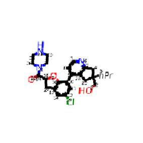 CCCC1(CO)Cc2nccc(-c3cc(Cl)cc4c3OC(C(=O)N3CCNCC3)C4)c2C1